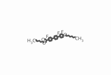 C/C=C/CCC1OCC(c2ccc(-c3ccc(-c4ccc(OCCCCCCC)c(F)c4F)cc3)cc2F)CO1